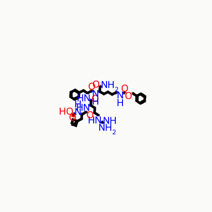 N=C(N)NCCCC(NC(=O)C(CC12CC(C1)C2)NC(=O)O)C(=O)NC(Cc1ccccc1)C(=O)NC(CCCCNC(=O)OCc1ccccc1)C(N)=O